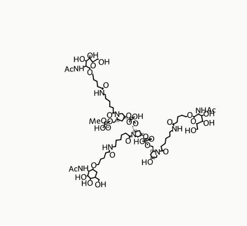 COP(=O)(O)OC[C@@H]1C[C@@H](OP(=O)(O)OC[C@@H]2C[C@@H](OP(=O)(O)OC[C@@H]3C[C@@H](O)CN3C(=O)CCCCCNC(=O)CCCCOC3OC(CO)C(O)C(O)C3NC(C)=O)CN2C(=O)CCCCCNC(=O)CCCCOC2CC(CO)C(O)C(O)C2NC(C)=O)CN1C(=O)CCCCCNC(=O)CCCCOC1OC(CO)C(O)C(O)C1NC(C)=O